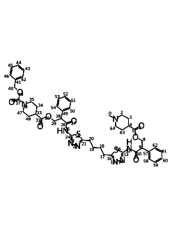 CN1CCC(C(=O)OCC(C(=O)Nc2nnc(CCCCc3nnc(NC(=O)C(COC(=O)C4CCN(C(=O)OCc5ccccc5)CC4)c4ccccc4)s3)s2)c2ccccc2)CC1